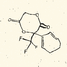 O=C1COC(=O)C(C2=CCCC=C2)(C(F)(F)F)O1